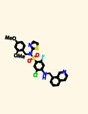 COc1ccc(CN(c2nccs2)S(=O)(=O)c2cc(Cl)c(NCc3cccc4ccncc34)cc2F)c(OC)c1